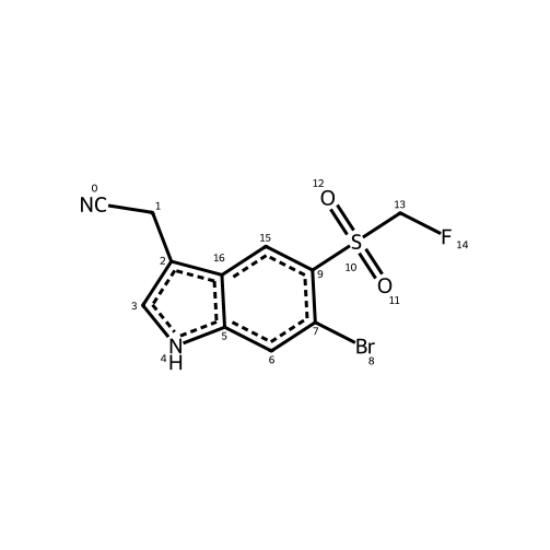 N#CCc1c[nH]c2cc(Br)c(S(=O)(=O)CF)cc12